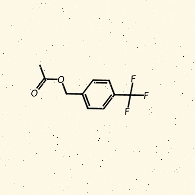 CC(=O)OCc1ccc(C(F)(F)F)cc1